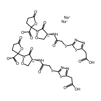 O=C(O)Cc1nnc(SCC(=O)N[C@H]2CON(C3(C(=O)[O-])CCC(=O)O3)C2=O)s1.O=C(O)Cc1nnc(SCC(=O)N[C@H]2CON(C3(C(=O)[O-])CCC(=O)O3)C2=O)s1.[Na+].[Na+]